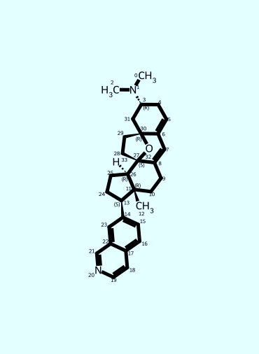 CN(C)[C@@H]1CC=C2C=C3CC[C@]4(C)[C@@H](c5ccc6ccncc6c5)CC[C@H]4[C@@]34CC[C@]2(C1)O4